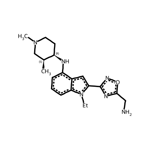 CCn1c(-c2noc(CN)n2)cc2c(N[C@@H]3CCN(C)C[C@@H]3C)cccc21